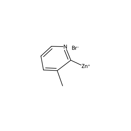 Cc1cccn[c]1[Zn+].[Br-]